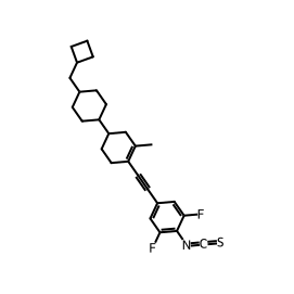 CC1=C(C#Cc2cc(F)c(N=C=S)c(F)c2)CCC(C2CCC(CC3CCC3)CC2)C1